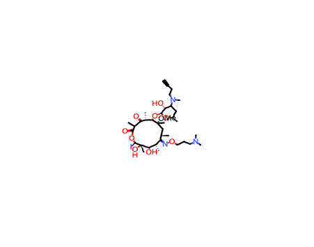 C#CCCN(C)C1C[C@@H](C)O[C@@H](O[C@@H]2[C@@H](C)C(=O)C(C)C(=O)O[C@H](I)[C@@](C)(O)[C@H](O)[C@@H](C)/C(=N/OCCCN(C)C)[C@H](C)C[C@@]2(C)OC)[C@@H]1O